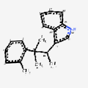 Cc1ccccc1C(C)(C)C(C)c1c[nH]c2ccccc12